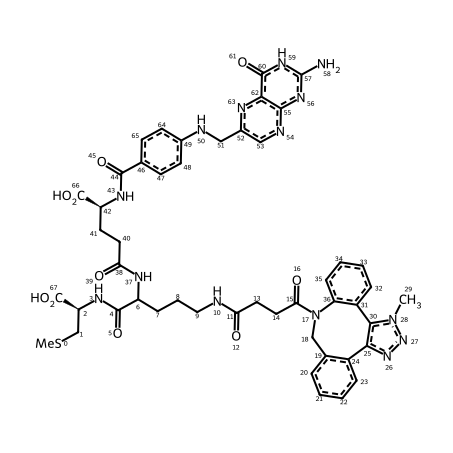 CSC[C@H](NC(=O)C(CCCNC(=O)CCC(=O)N1Cc2ccccc2-c2nnn(C)c2-c2ccccc21)NC(=O)CC[C@H](NC(=O)c1ccc(NCc2cnc3nc(N)[nH]c(=O)c3n2)cc1)C(=O)O)C(=O)O